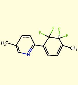 CC1=CC=C(c2ccc(C)cn2)C(F)(F)C1(F)F